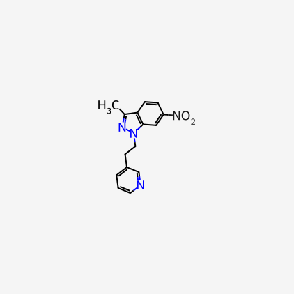 Cc1nn(CCc2cccnc2)c2cc([N+](=O)[O-])ccc12